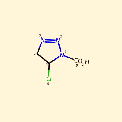 O=C(O)N1N=NCC1Cl